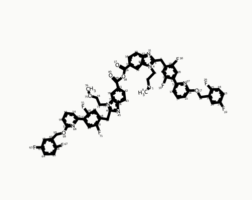 COCCn1c(Cc2cc(F)c(-c3cccc(OCc4cc(F)ccc4F)n3)cc2F)nc2ccc(C(=O)OC(=O)c3ccc4nc(Cc5cc(F)c(-c6cccc(OCc7cc(F)ccc7F)n6)cc5F)n(CCOC)c4c3)cc21